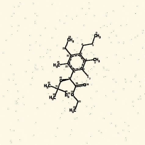 CCCc1c(C)c(I)c([C@H](OC(C)(C)C)C(=O)OCC)c(C)c1CC